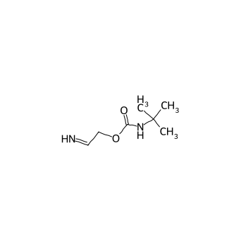 CC(C)(C)NC(=O)OCC=N